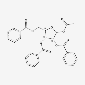 CC(=O)OC1O[C@@H](COC(=O)c2ccccc2)[C@@H](OC(=O)c2ccccc2)[C@H]1OC(=O)c1ccccc1